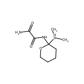 C[SiH](C)C1(NC(=O)C(N)=O)CCCCO1